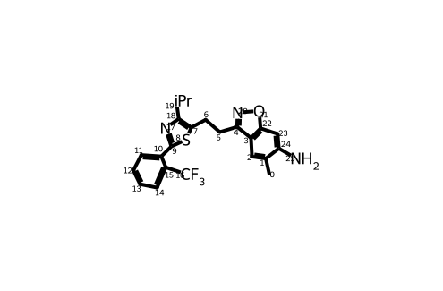 Cc1cc2c(CCc3sc(-c4ccccc4C(F)(F)F)nc3C(C)C)noc2cc1N